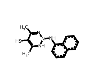 CC1=NN(Nc2cccc3ccccc23)NC(C)=C1S